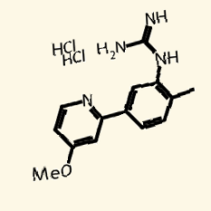 COc1ccnc(-c2ccc(C)c(NC(=N)N)c2)c1.Cl.Cl